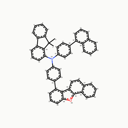 CC1(C)c2ccccc2-c2cccc(N(c3ccc(-c4cccc5ccccc45)cc3)c3ccc(-c4cccc5oc6c7ccccc7ccc6c45)cc3)c21